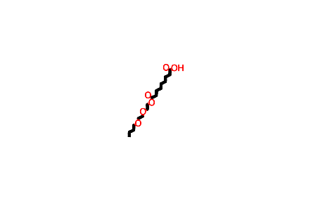 CCCCOCCOCCOC(=O)CCCCCCCC(=O)O